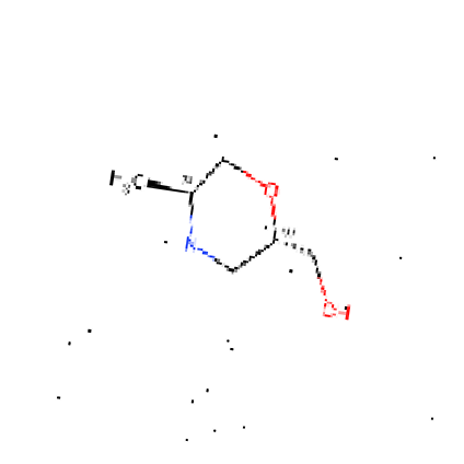 C[C@H]1CO[C@H](CO)C[N]1